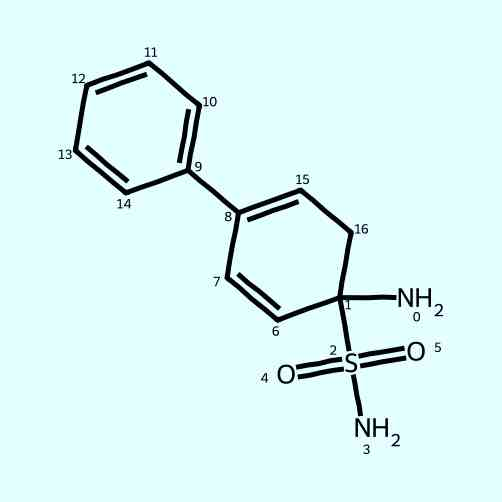 NC1(S(N)(=O)=O)C=CC(c2ccccc2)=CC1